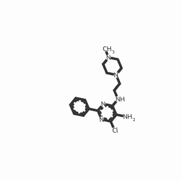 CN1CCN(CCNc2nc(-c3ccccc3)nc(Cl)c2N)CC1